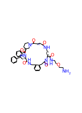 NCCOCCNC(=O)[C@@H]1CCNC(=O)/C=C/C(=O)N2CCC[C@](Cc3ccccc3)(C2)C(=O)N[C@@H](CCc2ccccc2)C(=O)NCc2ccccc2CC(=O)N1